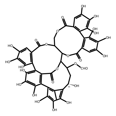 Cc1c2c(O)c(O)c(O)c1[C@@H](O)CC(OC=O)C1OC(=O)c3c(c(O)c(O)c(O)c3-2)-c2c(cc(O)c(O)c2O)C(=O)OC2COC(=O)c3cc(O)c(O)c(O)c3-c3c(cc(O)c(O)c3O)C(=O)OC21